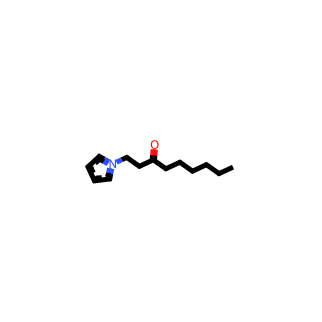 CCCCCCC(=O)CCn1cccc1